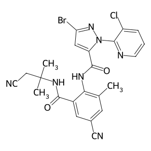 Cc1cc(C#N)cc(C(=O)NC(C)(C)CC#N)c1NC(=O)c1cc(Br)nn1-c1ncccc1Cl